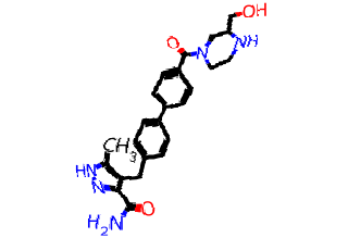 Cc1[nH]nc(C(N)=O)c1Cc1ccc(-c2ccc(C(=O)N3CCNC(CO)C3)cc2)cc1